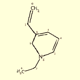 C=CC1=CC=CN(CC)C1